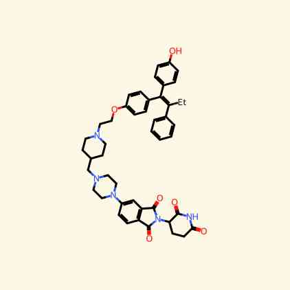 CCC(=C(c1ccc(O)cc1)c1ccc(OCCN2CCC(CN3CCN(c4ccc5c(c4)C(=O)N(C4CCC(=O)NC4=O)C5=O)CC3)CC2)cc1)c1ccccc1